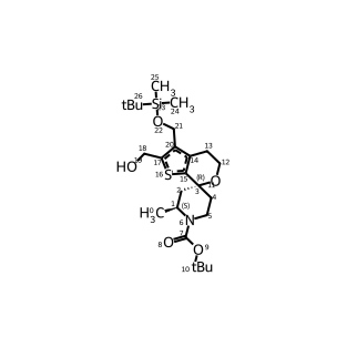 C[C@H]1C[C@@]2(CCN1C(=O)OC(C)(C)C)OCCc1c2sc(CO)c1CO[Si](C)(C)C(C)(C)C